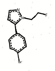 FCCn1nccc1-c1ccc(Br)cc1